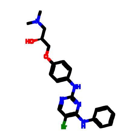 CN(C)C[C@@H](O)COc1ccc(Nc2ncc(Br)c(Nc3ccccc3)n2)cc1